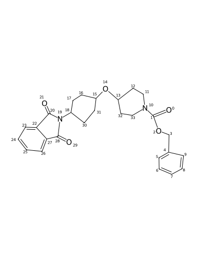 O=C(OCc1ccccc1)N1CCC(OC2CCC(N3C(=O)c4ccccc4C3=O)CC2)CC1